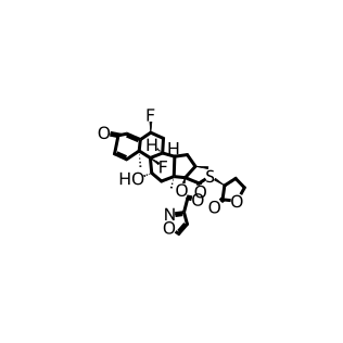 C[C@@H]1C[C@H]2[C@@H]3C[C@H](F)C4=CC(=O)C=C[C@]4(C)[C@@]3(F)[C@@H](O)C[C@]2(C)[C@@]1(OC(=O)c1ccon1)C(=O)S[C@H]1CCOC1=O